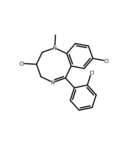 CN1CC(Cl)CN=C(c2ccccc2Cl)c2cc(Cl)ccc21